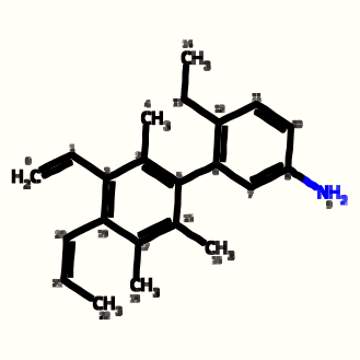 C=Cc1c(C)c(-c2cc(N)ccc2CC)c(C)c(C)c1/C=C\C